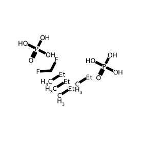 CCC.CCC.CCC.CCC.FCF.O=P(O)(O)O.O=P(O)(O)O